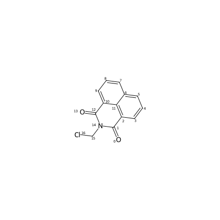 O=C1c2cccc3cccc(c23)C(=O)N1CCl